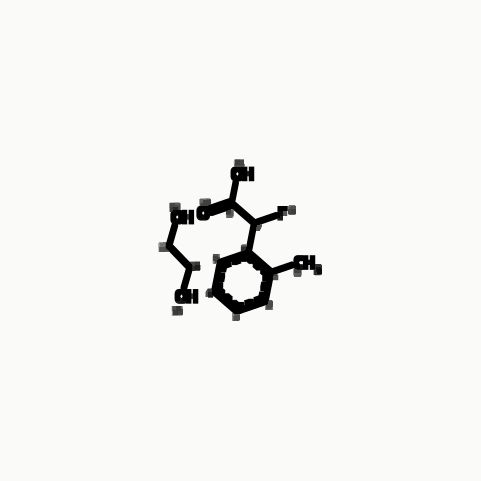 Cc1ccccc1C(F)C(=O)O.OCCO